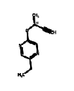 C#C[C@H](C)Oc1cnc(CC)cn1